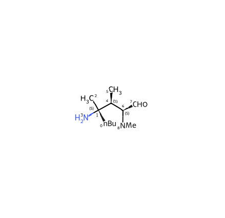 CCCC[C@](C)(N)[C@@H](C)[C@@H](C=O)NC